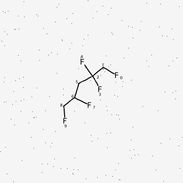 F[CH]C(F)(F)CC(F)CF